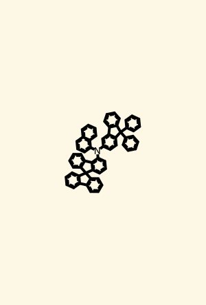 c1ccc(C2(c3ccccc3)c3ccccc3-c3cc(N(c4cccc5c4-c4ccccc4C54c5ccccc5-c5ccccc54)c4cccc5ccccc45)ccc32)cc1